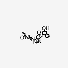 C=CC(=O)N1CC2(C1)CN(c1ncnc3c1CC(=O)N(c1cc(O)cc4ccccc14)C3)C2